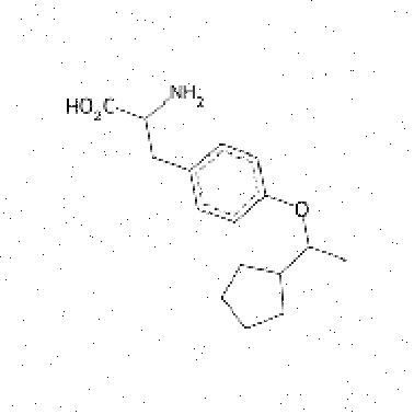 CC(Oc1ccc(CC(N)C(=O)O)cc1)C1CCCC1